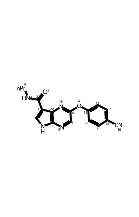 CCCNC(=O)c1c[nH]c2ncc(Oc3ccc(C#N)cc3)nc12